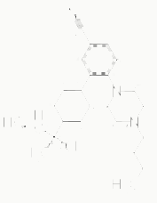 CCCCN1CCN(c2ccc(C#N)cc2C2CCC(C(C)(C)C)CC2)CC1.Cl